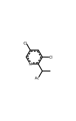 CC(=O)C(C)c1ncc(Cl)cc1Cl